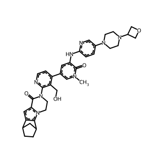 Cn1cc(-c2ccnc(N3CCn4c(cc5c4C4CCC5C4)C3=O)c2CO)cc(Nc2ccc(N3CCN(C4COC4)CC3)cn2)c1=O